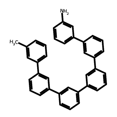 Cc1cccc(-c2cccc(-c3cccc(-c4cccc(-c5cccc(-c6cccc(N)c6)c5)c4)c3)c2)c1